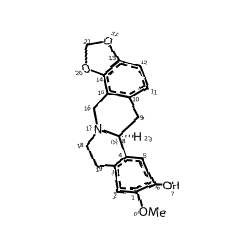 COc1cc2c(cc1O)[C@@H]1Cc3ccc4c(c3CN1CC2)OCO4